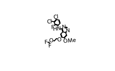 COc1cc2ncnc(Nc3ccc(Cl)c(Cl)c3F)c2cc1OCCOC(F)F